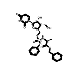 C[C@H](N[P@@](=O)(OC[C@H]1O[C@@H](n2ccc(=O)[nH]c2=O)[C@H](O)[C@@H]1CO)Oc1ccccc1)C(=O)OCc1ccccc1